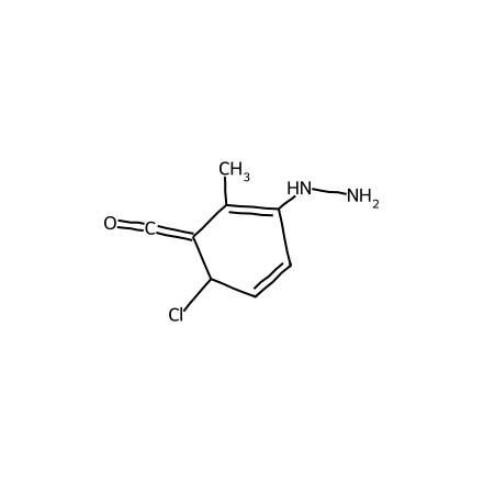 CC1=C(NN)C=CC(Cl)C1=C=O